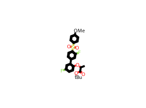 COc1ccc(S(=O)(=O)c2ccc(-c3cc(F)ccc3OC(C)C(=O)OC(C)(C)C)cc2F)cc1